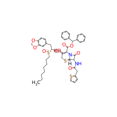 CCCCCCCC[S+]([O-])C(C)Cc1ccc2c(c1)OCO2.O=C(Cc1cccs1)NC1C(=O)N2C(C(=O)OC(c3ccccc3)c3ccccc3)=C(O)CS[C@H]12